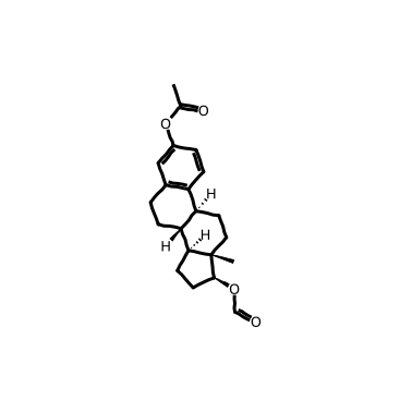 CC(=O)Oc1ccc2c(c1)CC[C@@H]1[C@@H]2CC[C@]2(C)[C@@H](OC=O)CC[C@@H]12